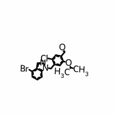 CC(C)Oc1cc(Cn2ncc3c(Br)cccc32)c(Cl)cc1C=O